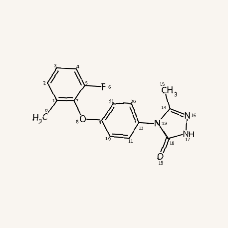 Cc1cccc(F)c1Oc1ccc(-n2c(C)n[nH]c2=O)cc1